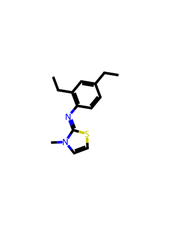 CCc1ccc(N=c2sccn2C)c(CC)c1